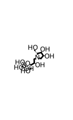 OC[C@H](OS(O)(O)O)[C@@H](O)CN1C[C@@H](O)[C@H](O)[C@H]1CO